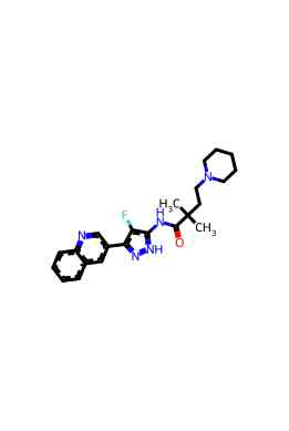 CC(C)(CCN1CCCCC1)C(=O)Nc1[nH]nc(-c2cnc3ccccc3c2)c1F